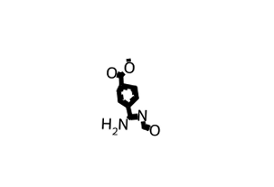 COC(=O)c1ccc(C(N)=NC=O)cc1